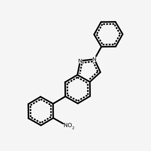 O=[N+]([O-])c1ccccc1-c1ccc2cn(-c3ccccc3)nc2c1